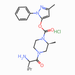 Cc1cc(OC(=O)N2CCN(C(=O)C(N)C(C)C)C[C@@H]2C)n(-c2ccccc2)n1.Cl